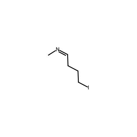 C/N=C\CCCI